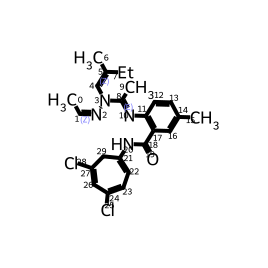 C/C=N\N(/C=C(/C)CC)/C(C)=N/c1ccc(C)cc1C(=O)NC1=CC=C(Cl)C=C(Cl)C1